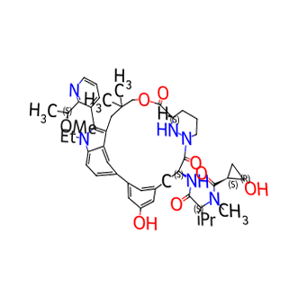 CCn1c(-c2cccnc2[C@H](C)OC)c2c3cc(ccc31)-c1cc(O)cc(c1)C[C@H](NC(=O)[C@H](C(C)C)N(C)C(=O)[C@H]1C[C@H]1O)C(=O)N1CCC[C@H](N1)C(=O)OCC(C)(C)C2